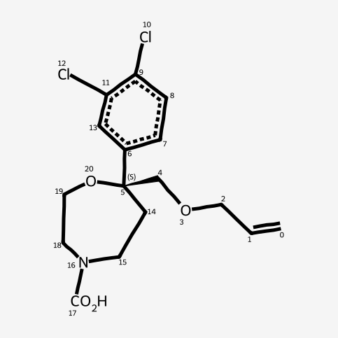 C=CCOC[C@@]1(c2ccc(Cl)c(Cl)c2)CCN(C(=O)O)CCO1